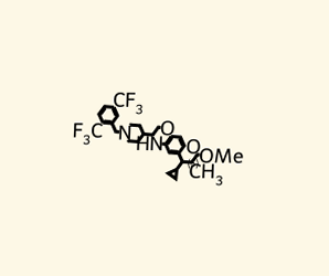 COC(=O)[C@@H](C)C(c1ccc2c(c1)NC(C1CCN(Cc3cc(C(F)(F)F)ccc3C(F)(F)F)CC1)CO2)C1CC1